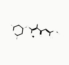 C=N/C(N[C@H]1C[C@@H](C)O[C@@H](C)C1)=C(/C)C(=N)/C=C(\C)ON